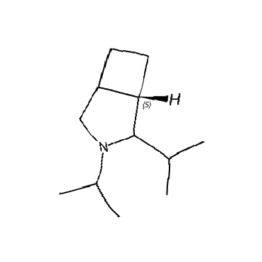 CC(C)C1[C@H]2CCC2CN1C(C)C